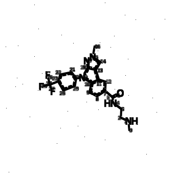 CNCCNC(=O)c1ccc2c(c1)c1cn(C)nc1n2-c1ccc(C(F)(F)F)cc1